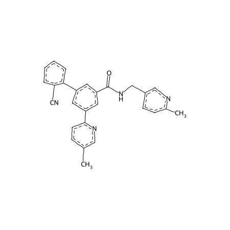 Cc1ccc(-c2cc(C(=O)NCc3ccc(C)nc3)cc(-c3ccccc3C#N)c2)nc1